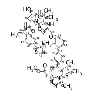 COC(=O)C[C@@H]1N=C(c2ccc(-c3cccc(OCC(=O)NC(C(=O)N4C[C@H](O)C[C@H]4C(=O)N[C@@H](C)c4ccc(-c5scnc5C)cc4)C(C)(C)C)c3)cc2)c2c(sc(C)c2C)-n2c(C)nnc21